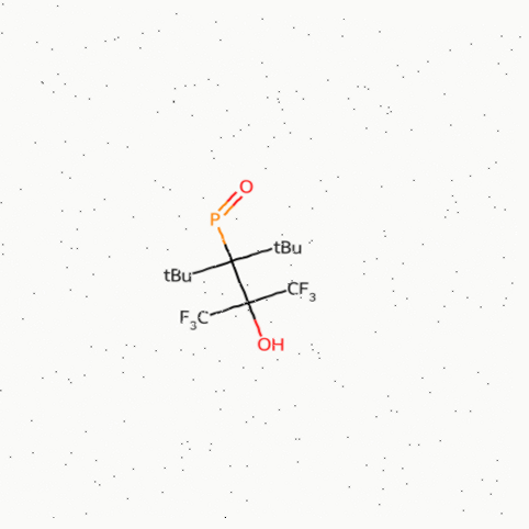 CC(C)(C)C(P=O)(C(C)(C)C)C(O)(C(F)(F)F)C(F)(F)F